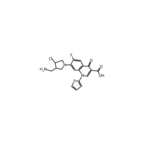 NCC1CN(c2cc3c(cc2F)c(=O)c(C(=O)O)cn3-c2cccs2)CC1Cl